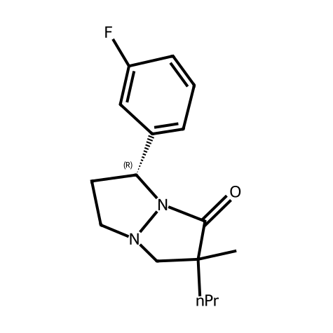 CCCC1(C)CN2CC[C@H](c3cccc(F)c3)N2C1=O